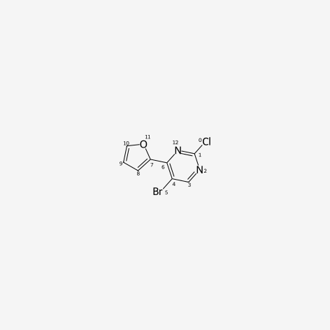 Clc1ncc(Br)c(-c2ccco2)n1